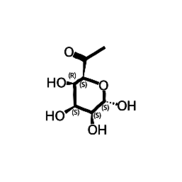 CC(=O)[C@H]1O[C@H](O)[C@@H](O)[C@@H](O)[C@H]1O